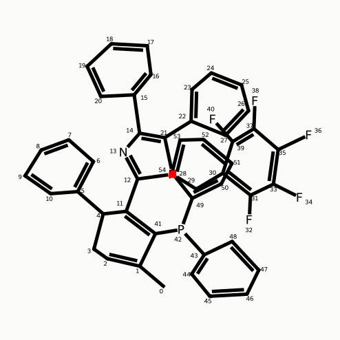 CC1=CCC(c2ccccc2)C(c2nc(-c3ccccc3)c(-c3ccccc3)n2Cc2c(F)c(F)c(F)c(F)c2F)=C1P(c1ccccc1)c1ccccc1